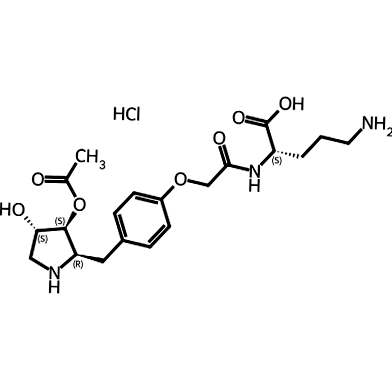 CC(=O)O[C@@H]1[C@@H](O)CN[C@@H]1Cc1ccc(OCC(=O)N[C@@H](CCCN)C(=O)O)cc1.Cl